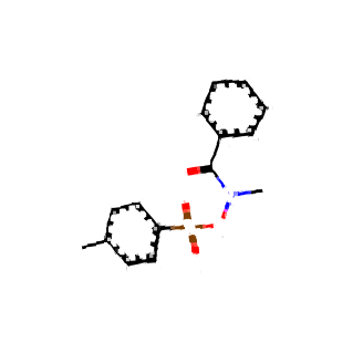 Cc1ccc(S(=O)(=O)ON(C)C(=O)c2ccccc2)cc1